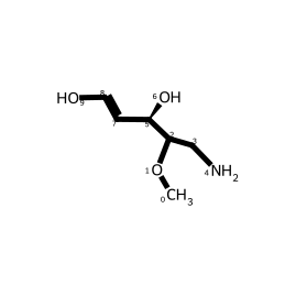 COC(CN)[C@H](O)/C=C/O